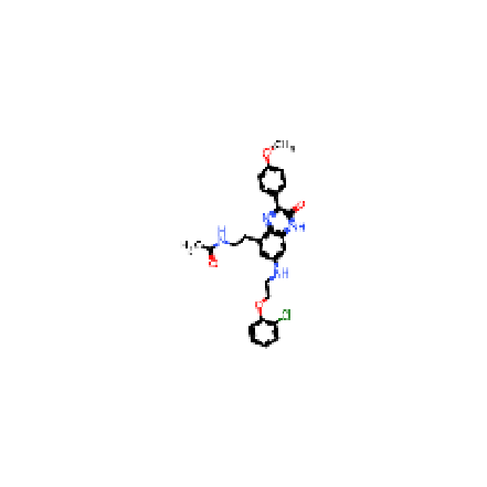 COc1ccc(-c2nc3c(CCNC(C)=O)cc(NCCOc4ccccc4Cl)cc3[nH]c2=O)cc1